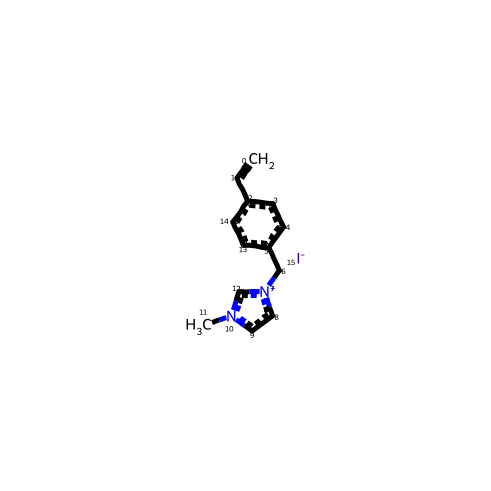 C=Cc1ccc(C[n+]2ccn(C)c2)cc1.[I-]